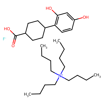 CCCC[N+](CCCC)(CCCC)CCCC.O=C(O)C1CCC(c2ccc(O)cc2O)CC1.[F-]